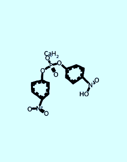 O=[N+]([O-])c1ccc(OP(=O)([O-])Oc2ccc([N+](=O)O)cc2)cc1.[CaH2]